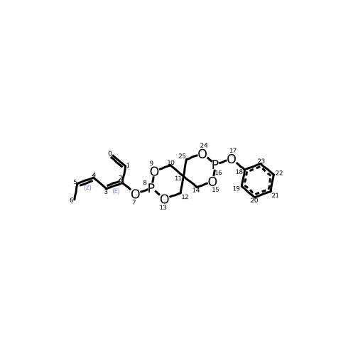 C=C/C(=C\C=C/C)OP1OCC2(CO1)COP(Oc1ccccc1)OC2